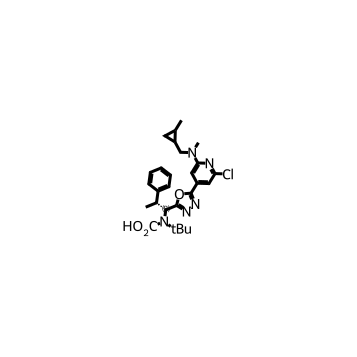 CC1CC1CN(C)c1cc(-c2nnc([C@@H](C(C)c3ccccc3)N(C(=O)O)C(C)(C)C)o2)cc(Cl)n1